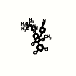 COC1=C(c2cc(Cl)cc(Cl)c2)C(=O)N2CC(n3cc([Si](C)(C)C)nn3)CC12Cc1ccc(C#N)cc1